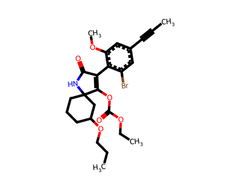 CC#Cc1cc(Br)c(C2=C(OC(=O)OCC)C3(CCCC(OCCC)C3)NC2=O)c(OC)c1